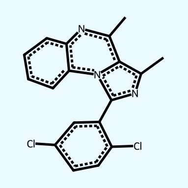 Cc1nc(-c2cc(Cl)ccc2Cl)n2c1c(C)nc1ccccc12